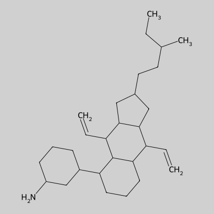 C=CC1C2CC(CCC(C)CC)CC2C(C=C)C2C(C3CCCC(N)C3)CCCC12